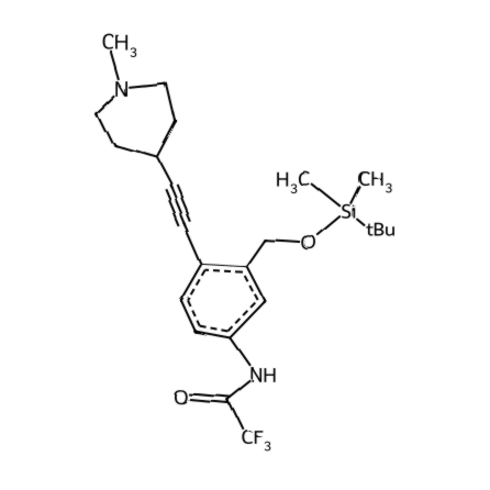 CN1CCC(C#Cc2ccc(NC(=O)C(F)(F)F)cc2CO[Si](C)(C)C(C)(C)C)CC1